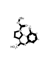 CC(C)(C)OC(=O)N1CC[C@H](C(Sc2cccc(Br)c2)C(=O)O)C1